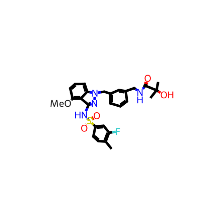 COc1cccc2c1c(NS(=O)(=O)c1ccc(C)c(F)c1)nn2Cc1cccc(CNC(=O)C(C)(C)O)c1